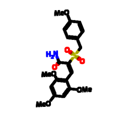 COc1ccc(CS(=O)(=O)/C(=C/c2c(OC)cc(OC)cc2OC)C(N)=O)cc1